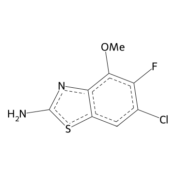 COc1c(F)c(Cl)cc2sc(N)nc12